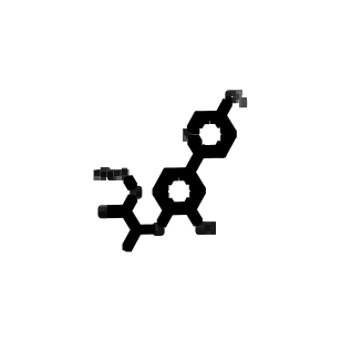 CCCCCOC(=O)C(C)Oc1ccc(-c2ccc(C(F)(F)F)cn2)cc1O